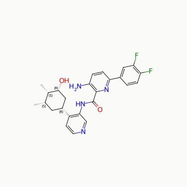 C[C@@H]1[C@H](O)C[C@H](c2ccncc2NC(=O)c2nc(-c3ccc(F)c(F)c3)ccc2N)C[C@@H]1C